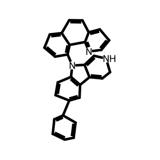 C1=c2c(n(-c3cccc4ccc5cccnc5c34)c3ccc(-c4ccccc4)cc23)=CNC1